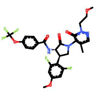 COCCn1ncc(C)c(N2C[C@@H](c3c(F)cc(OC)cc3F)[C@H](NC(=O)c3ccc(OC(F)(F)F)cc3)C2=O)c1=O